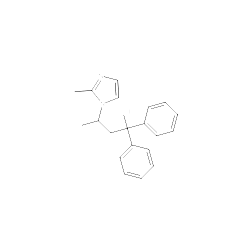 Cc1nccn1C(C)CC(O)(c1ccccc1)c1ccccc1